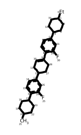 CCC1CCC(c2ccc(C3=CCC(c4ccc(C5CCC(C)CC5)c(F)c4)CC3)c(F)c2)CC1